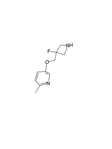 Cc1ccc(OCC2(F)CNC2)cn1